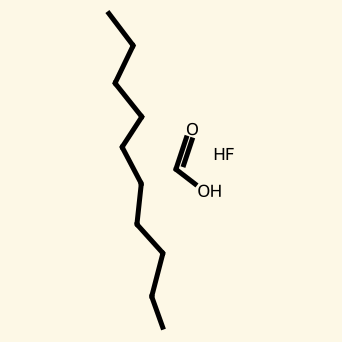 CCCCCCCCCC.F.O=CO